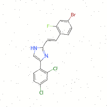 Fc1cc(Br)ccc1C=Cc1nc(-c2ccc(Cl)cc2Cl)c[nH]1